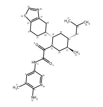 Cc1cc(NC(=O)C(=O)N2C[C@H](C)[C@@H](CC(C)C)C[C@H]2C2CCc3scnc3C2)cnc1N